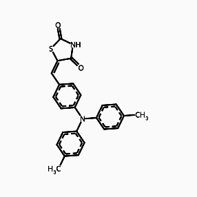 Cc1ccc(N(c2ccc(C)cc2)c2ccc(C=C3SC(=O)NC3=O)cc2)cc1